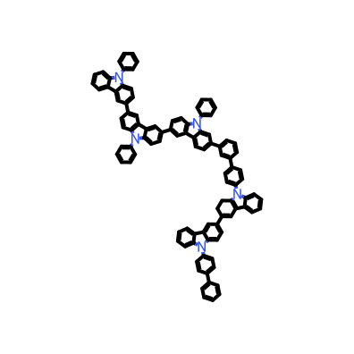 C1=C(c2ccc3c(c2)c2ccccc2n3-c2ccc(-c3ccccc3)cc2)CCc2c1c1ccccc1n2-c1ccc(-c2cccc(-c3ccc4c5cc(-c6ccc7c(c6)c6cc(-c8ccc9c(c8)c8ccccc8n9-c8ccccc8)ccc6n7-c6ccccc6)ccc5n(-c5ccccc5)c4c3)c2)cc1